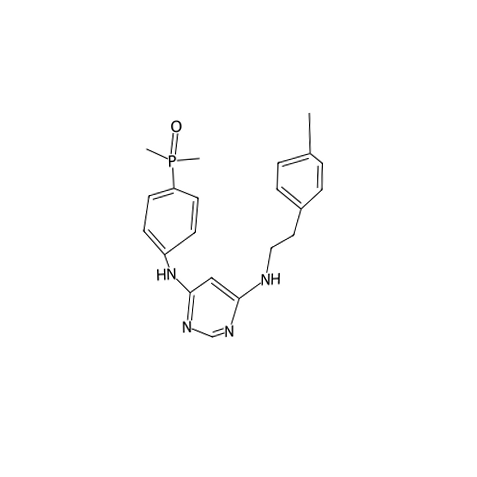 Cc1ccc(CCNc2cc(Nc3ccc(P(C)(C)=O)cc3)ncn2)cc1